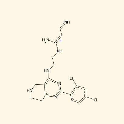 N=C/C=C(\N)NCCNc1nc(-c2ccc(Cl)cc2Cl)nc2c1CNCC2